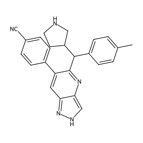 Cc1ccc(C(c2nc3c[nH]nc3cc2-c2ccc(C#N)cc2)C2CCNC2)cc1